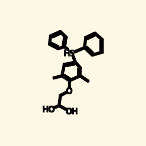 Cc1cc([SH](c2ccccc2)c2ccccc2)cc(C)c1OCC(O)O